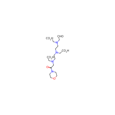 O=[C]CN(CCN(CCN(CC(=O)O)CC(=O)N1CCOCC1)CC(=O)O)CC(=O)O